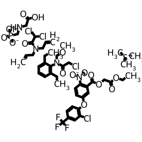 C=CCN(CC=C)C(=O)C(Cl)Cl.CCOC(=O)COC(=O)c1cc(Oc2ccc(C(F)(F)F)cc2Cl)ccc1[N+](=O)[O-].CCc1cccc(CC)c1N(COC)C(=O)CCl.C[S+](C)C.O=C(O)CNCP(=O)([O-])O